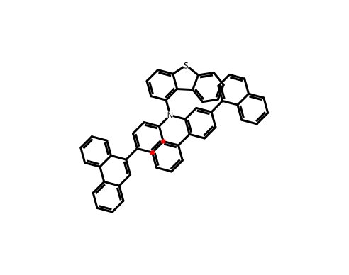 c1ccc(-c2ccc(-c3cccc4ccccc34)cc2N(c2ccc(-c3cc4ccccc4c4ccccc34)cc2)c2cccc3sc4ccccc4c23)cc1